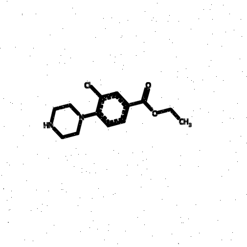 CCOC(=O)c1ccc(N2CCNCC2)c(Cl)c1